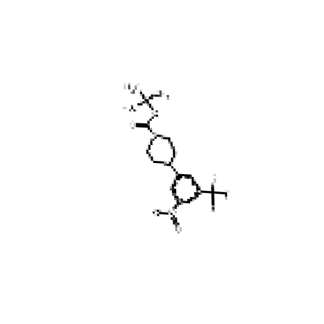 CC(C)(C)OC(=O)N1CCC(c2cc([N+](=O)[O-])cc(C(F)(F)F)c2)CC1